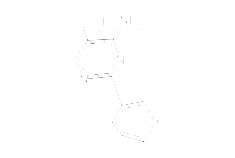 Nc1nc(-c2ccccc2F)ncc1C(=O)O